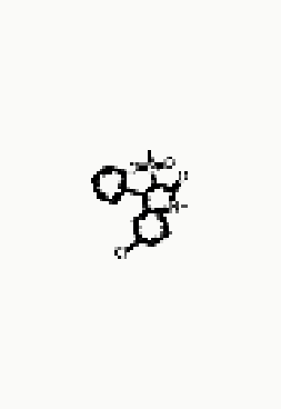 CS(=O)(=O)c1c(-c2ccccc2)c2cc(Cl)ccc2[nH]c1=O